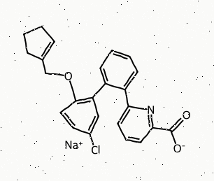 O=C([O-])c1cccc(-c2ccccc2-c2cc(Cl)ccc2OCC2=CCCC2)n1.[Na+]